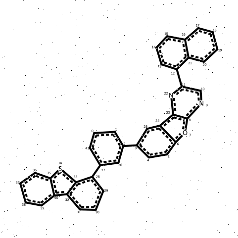 c1cc(-c2ccc3oc4ncc(-c5cccc6ccccc56)nc4c3c2)cc(-c2cccc3c2sc2ccccc23)c1